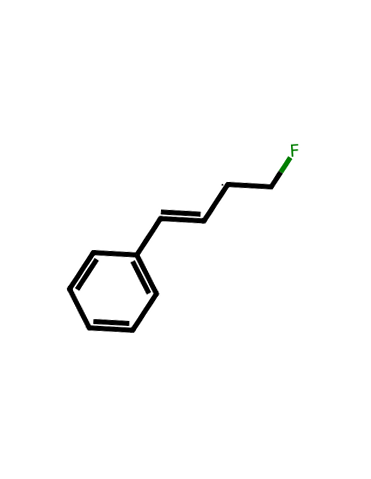 FC[CH]C=Cc1ccccc1